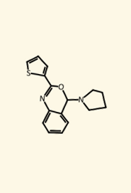 c1csc(C2=Nc3ccccc3C(N3CCCC3)O2)c1